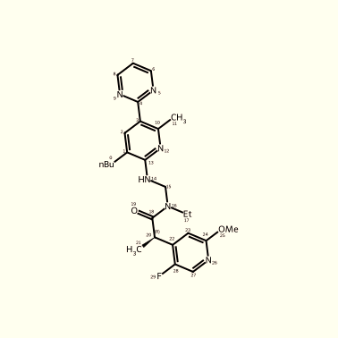 CCCCc1cc(-c2ncccn2)c(C)nc1NCN(CC)C(=O)[C@H](C)c1cc(OC)ncc1F